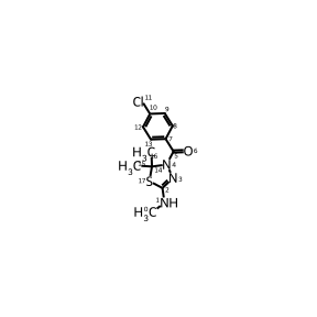 CNC1=NN(C(=O)c2ccc(Cl)cc2)C(C)(C)S1